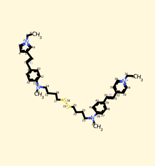 CCn1ccc(/C=C/c2ccc(N(C)CCCCSSCCCCN(C)c3ccc(/C=C/c4cc[n+](CC)cc4)cc3)cc2)c1